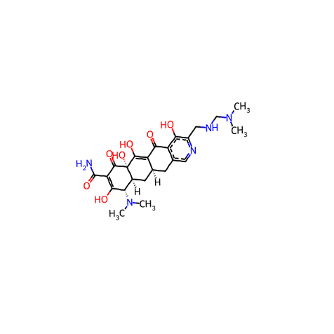 CN(C)CNCc1ncc2c(c1O)C(=O)C1=C(O)[C@]3(O)C(=O)C(C(N)=O)=C(O)[C@@H](N(C)C)[C@@H]3C[C@@H]1C2